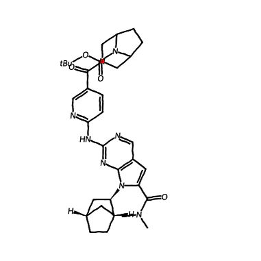 CN(C)C(=O)c1cc2cnc(Nc3ccc(C(=O)N4CC5CCC(C4)N5C(=O)OC(C)(C)C)cn3)nc2n1[C@@H]1C[C@H]2CC[C@@H]1C2